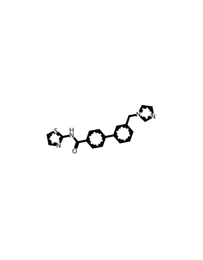 O=C(Nc1nccs1)c1ccc(-c2cccc(Cn3ccnc3)c2)cc1